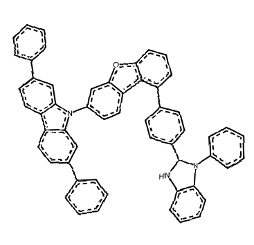 c1ccc(-c2ccc3c4ccc(-c5ccccc5)cc4n(-c4ccc5c(c4)oc4cccc(-c6ccc(C7Nc8ccccc8N7c7ccccc7)cc6)c45)c3c2)cc1